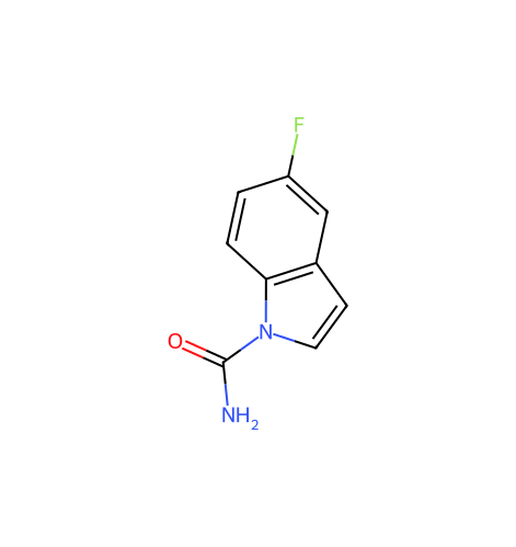 NC(=O)n1ccc2cc(F)ccc21